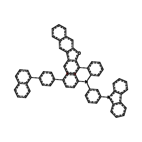 c1cc(N(c2ccc(-c3ccc(-c4cccc5ccccc45)cc3)cc2)c2ccccc2-c2cccc3c2oc2cc4ccccc4cc23)cc(-n2c3ccccc3c3ccccc32)c1